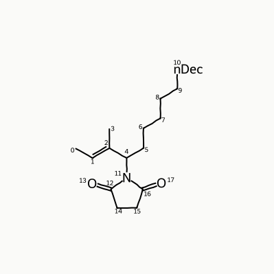 CC=C(C)C(CCCCCCCCCCCCCCC)N1C(=O)CCC1=O